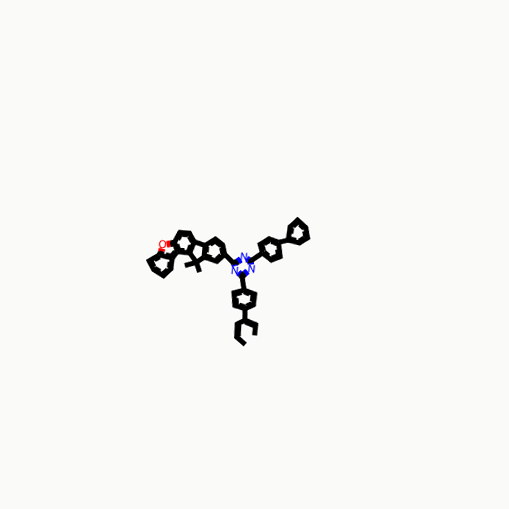 C/C=C\C(=C/C)c1ccc(-c2nc(-c3ccc(-c4ccccc4)cc3)nc(-c3ccc4c(c3)C(C)(C)c3c-4ccc4oc5ccccc5c34)n2)cc1